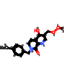 CCOOCc1cnc2c(=O)n(Cc3ccc(OC)cc3)ccc2c1O